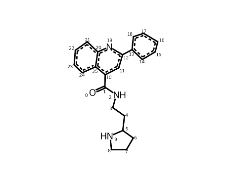 O=C(NCCC1CCCN1)c1cc(-c2ccccc2)nc2ccccc12